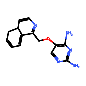 Nc1ncc(OCC2=NC=CC3CC=CC=C23)c(N)n1